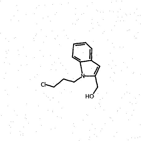 OCc1cc2ccccc2n1CCCCl